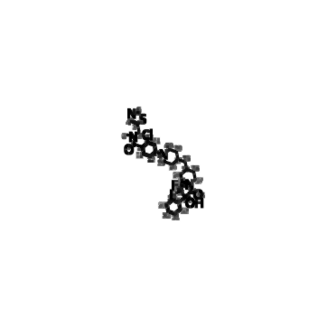 CN(Cc1cncs1)C(=O)c1ccc(N2CCC(CC3CCN(C(=O)[C@](O)(c4ccccc4)C(F)(F)F)CC3)CC2)cc1Cl